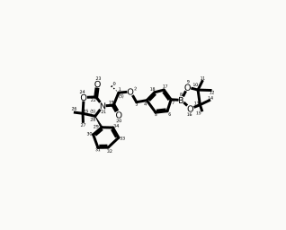 C[C@H](OCc1ccc(B2OC(C)(C)C(C)(C)O2)cc1)C(=O)N1C(=O)OC(C)(C)[C@@H]1c1ccccc1